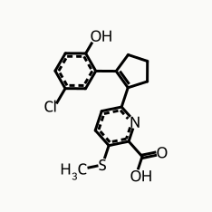 CSc1ccc(C2=C(c3cc(Cl)ccc3O)CCC2)nc1C(=O)O